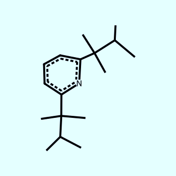 CC(C)C(C)(C)c1cccc(C(C)(C)C(C)C)n1